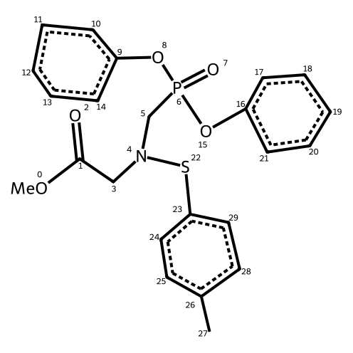 COC(=O)CN(CP(=O)(Oc1ccccc1)Oc1ccccc1)Sc1ccc(C)cc1